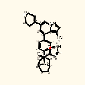 N#Cc1cnn2cc(C3=CCOCC3)cc(-c3ccc(N4CC5CCC(C4)N5C(=O)c4c[nH]cn4)nc3)c12